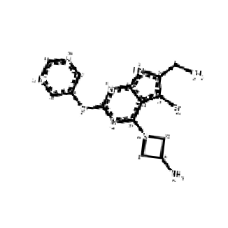 CCc1[nH]c2nc(Oc3cncnc3)nc(N3CC(N)C3)c2c1Br